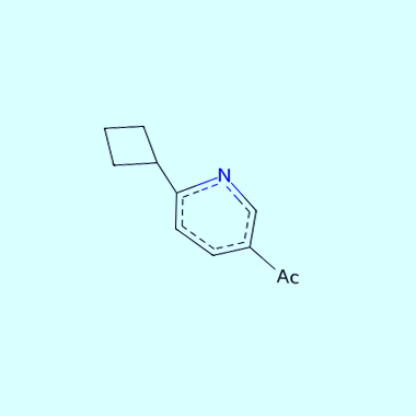 CC(=O)c1ccc(C2CCC2)nc1